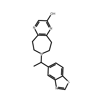 CC(c1ccc2scnc2c1)N1CCc2ncc(O)nc2CC1